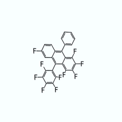 Fc1ccc2c(-c3ccccc3)c3c(F)c(F)c(F)c(F)c3c(-c3c(F)c(F)c(F)c(F)c3F)c2c1